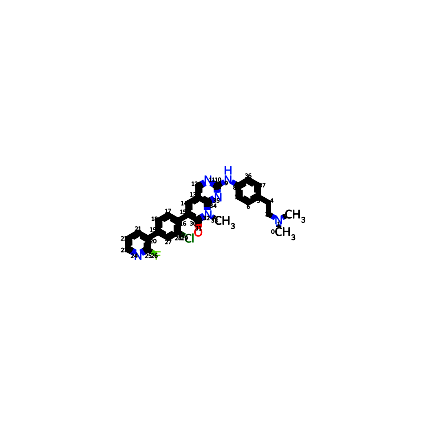 CN(C)CCc1ccc(Nc2ncc3cc(-c4ccc(-c5cccnc5F)cc4Cl)c(=O)n(C)c3n2)cc1